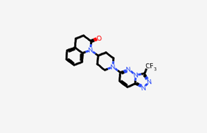 O=C1CCc2ccccc2N1C1CCN(c2ccc3nnc(C(F)(F)F)n3n2)CC1